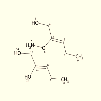 CCC=C(CO)ON.CCC=C(O)CO